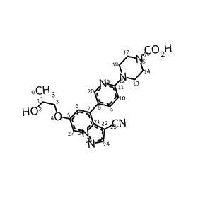 C[C@@H](O)COc1cc(-c2ccc(N3CCN(C(=O)O)CC3)nc2)c2c(C#N)cnn2c1